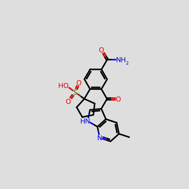 Cc1cnc2[nH]cc(C(=O)c3cc(C(N)=O)ccc3C3(S(=O)(=O)O)CCCC3)c2c1